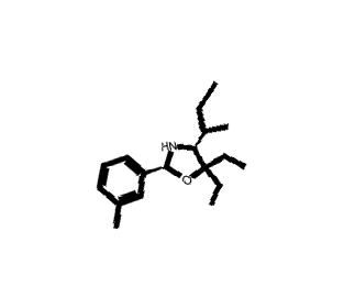 CCC(C)[C@@H]1N[C@H](c2cccc(C)c2)OC1(CC)CC